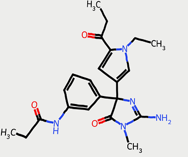 CCC(=O)Nc1cccc(C2(c3cc(C(=O)CC)n(CC)c3)N=C(N)N(C)C2=O)c1